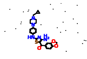 Nc1nc(Nc2ccc(N3CCN(CC4CC4)CC3)cc2)sc1C(=O)c1ccc2c(c1)OCO2